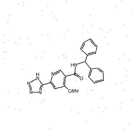 COc1cc(-c2nnn[nH]2)ncc1C(=O)NC(c1ccccc1)c1ccccc1